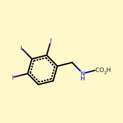 O=C(O)NCc1ccc(I)c(I)c1I